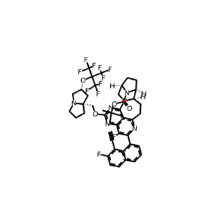 C#Cc1c(F)ccc2cccc(-c3nc4c5c(nc(OC[C@]67CCCN6C[C@H](OC(C(F)(F)F)(C(F)(F)F)C(F)(F)F)C7)nc5c3F)N3C[C@H]5CC[C@@H]([C@H]3CC4)N5C(=O)OC(C)(C)C)c12